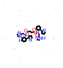 Cn1cccc1-c1ccccc1N(CC1=NCCN1)OC(=O)/C=C/C(=O)ON(CC1=NCCN1)c1ccccc1-c1cccn1C